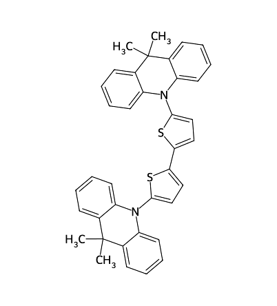 CC1(C)c2ccccc2N(c2ccc(-c3ccc(N4c5ccccc5C(C)(C)c5ccccc54)s3)s2)c2ccccc21